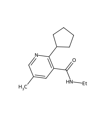 CCNC(=O)c1cc(C)cnc1C1CCCC1